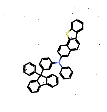 c1ccc(N(c2cccc(C3(c4ccccc4)c4ccccc4-c4ccccc43)c2)c2ccc3c(ccc4c5ccccc5sc34)c2)cc1